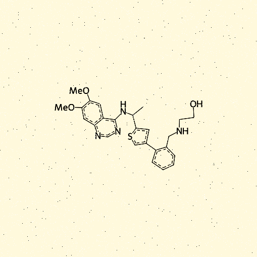 COc1cc2ncnc(NC(C)c3cc(-c4ccccc4CNCCO)cs3)c2cc1OC